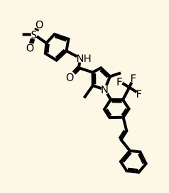 Cc1cc(C(=O)Nc2ccc(S(C)(=O)=O)cc2)c(C)n1-c1ccc(C=Cc2ccccc2)cc1C(F)(F)F